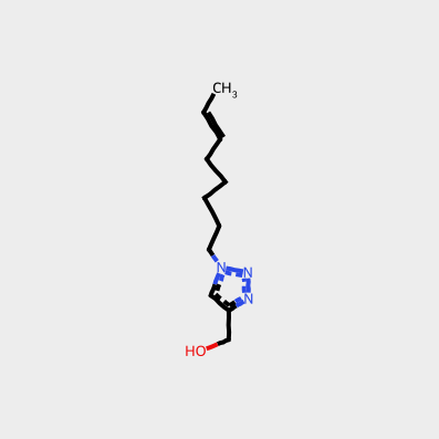 CC=CCCCCCn1cc(CO)nn1